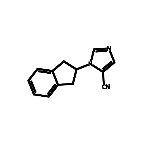 N#Cc1cncn1C1Cc2ccccc2C1